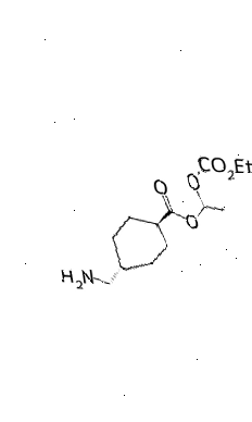 CCOC(=O)OC(C)OC(=O)[C@H]1CC[C@H](CN)CC1